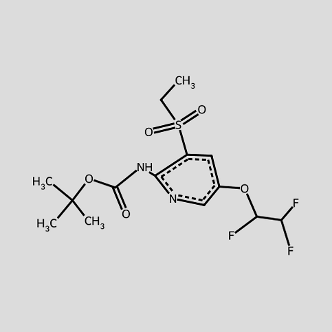 CCS(=O)(=O)c1cc(OC(F)C(F)F)cnc1NC(=O)OC(C)(C)C